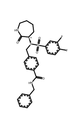 O=C(NCc1ccccc1)c1ccc(CN([C@@H]2CCCCNC2=O)S(=O)(=O)c2ccc(F)c(F)c2)cc1